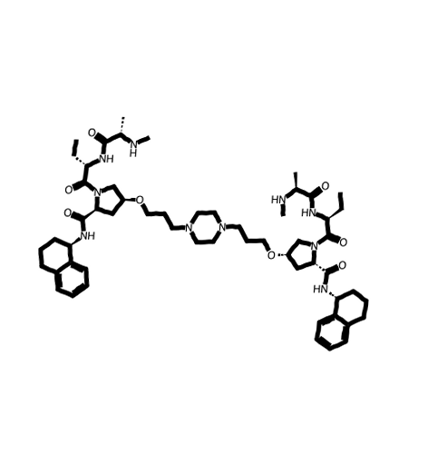 CC[C@H](NC(=O)[C@H](C)NC)C(=O)N1C[C@@H](OCCCN2CCN(CCCO[C@H]3C[C@@H](C(=O)N[C@@H]4CCCc5ccccc54)N(C(=O)[C@H](CC)NC(=O)[C@H](C)NC)C3)CC2)C[C@H]1C(=O)N[C@@H]1CCCc2ccccc21